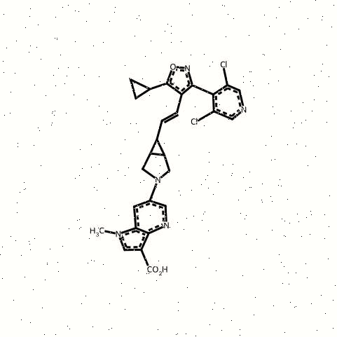 Cn1cc(C(=O)O)c2ncc(N3CC4C(C=Cc5c(-c6c(Cl)cncc6Cl)noc5C5CC5)C4C3)cc21